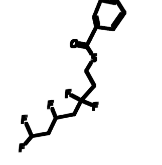 O=C(SCCC(F)(F)CC(F)CC(F)F)c1ccccc1